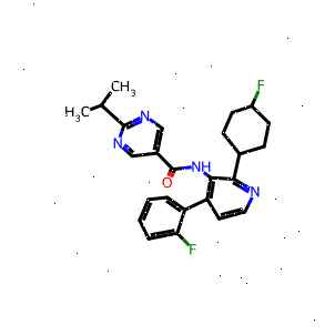 CC(C)c1ncc(C(=O)Nc2c(-c3ccccc3F)ccnc2C2CCC(F)CC2)cn1